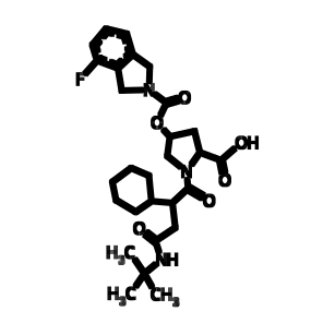 CC(C)(C)NC(=O)CC(C(=O)N1CC(OC(=O)N2Cc3cccc(F)c3C2)CC1C(=O)O)C1CCCCC1